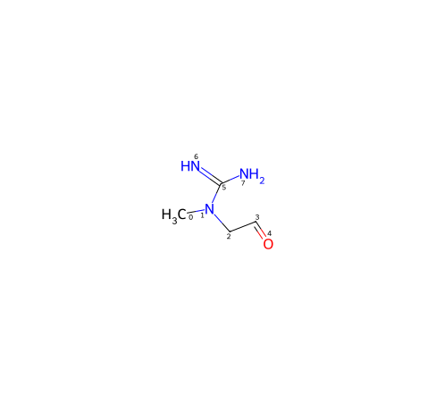 CN(CC=O)C(=N)N